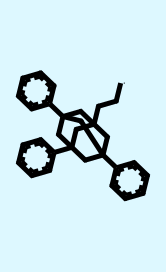 [CH2]CCC12CC3(c4ccccc4)CC(c4ccccc4)(C1)CC(c1ccccc1)(C2)C3